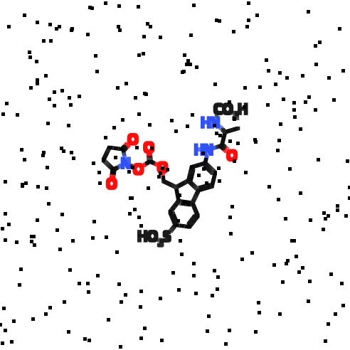 CC(NC(=O)O)C(=O)Nc1ccc2c(c1)C(COC(=O)ON1C(=O)CCC1=O)c1cc(S(=O)(=O)O)ccc1-2